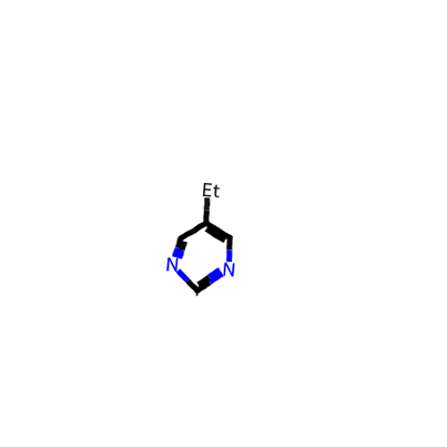 CCc1cn[c]nc1